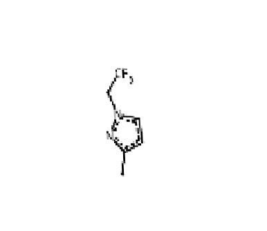 Cc1ccn(CC(F)(F)F)n1